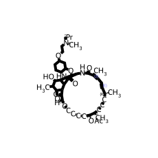 CC(=O)O[C@@H]1CCCCO[C@H]2OC3C(C)C(O)C4C(=O)C(NC(=O)/C(C)=C\C=C\[C@H](C)CCC[C@H]1C)C1OC5CC(OCCN(C)C(C)C)CCC5NC1C4C3C2=O